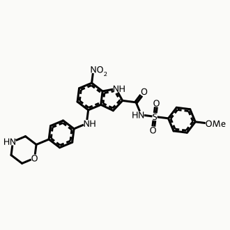 COc1ccc(S(=O)(=O)NC(=O)c2cc3c(Nc4ccc(C5CNCCO5)cc4)ccc([N+](=O)[O-])c3[nH]2)cc1